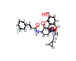 CN(C(=O)/C=C/c1cccc(F)c1)C1CC[C@@]2(O)[C@H]3Cc4ccc(O)c5c4[C@@]2(CCN3CC2CC2)C1O5